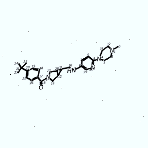 CN1CCN(c2ccc(NCC3C4CN(C(=O)c5ccc(C(C)(C)C)cc5)CC34)cn2)CC1